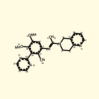 COc1cc(N=C(C)N2CCc3ncccc3C2)c(C#N)c(-c2ncccn2)c1OC